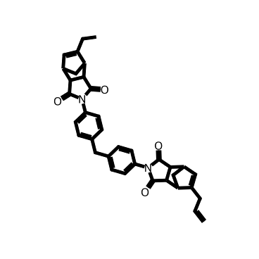 C=CCC1=CC2CC1C1C(=O)N(c3ccc(Cc4ccc(N5C(=O)C6C7C=C(CC)C(C7)C6C5=O)cc4)cc3)C(=O)C21